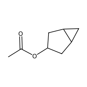 CC(=O)OC1CC2CC2C1